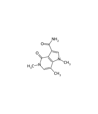 Cc1cn(C)c(=O)c2c(C(N)=O)cn(C)c12